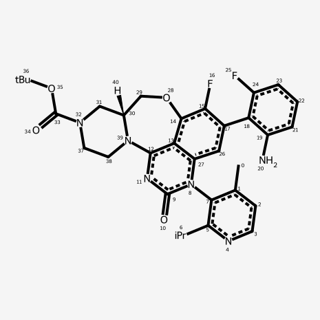 Cc1ccnc(C(C)C)c1-n1c(=O)nc2c3c(c(F)c(-c4c(N)cccc4F)cc31)OC[C@H]1CN(C(=O)OC(C)(C)C)CCN21